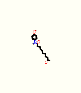 COc1ccc(N(C)C(=O)CCCCCCCCC(C)=O)cc1